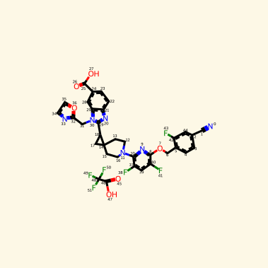 N#Cc1ccc(COc2nc(N3CCC4(CC3)CC4c3nc4ccc(C(=O)O)cc4n3Cc3ncco3)c(F)cc2F)c(F)c1.O=C(O)C(F)(F)F